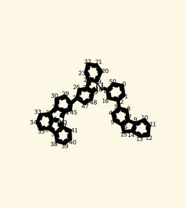 c1cc(-c2ccc3c(c2)-c2ccccc2C3)cc(-n2c3ccccc3c3cc(-c4ccc5c6cccc7c8ccccc8n(c5c4)c76)ccc32)c1